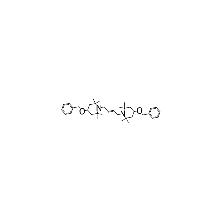 CC1(C)CC(OCc2ccccc2)CC(C)(C)N1CC=CCN1C(C)(C)CC(OCc2ccccc2)CC1(C)C